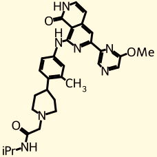 COc1cncc(-c2cc3cc[nH]c(=O)c3c(Nc3ccc(C4CCN(CC(=O)NC(C)C)CC4)c(C)c3)n2)n1